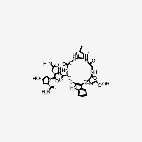 CC[C@H](C)[C@@H]1NC(=O)CNC(=O)C(NCOO)Cc2c([nH]c3ccccc23)SC[C@@H](C(=O)N[C@@H](CC(N)=O)C(=O)N2C[C@H](O)C[C@H]2C(N)=O)NC(=O)CNC1=O